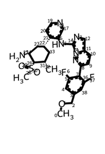 COCc1cc(F)c(-c2ccc3cnc(Nc4cnccc4[C@H]4C[C@@H](N)[C@H](S(C)(=O)=O)[C@@H](C)C4)n3n2)c(F)c1